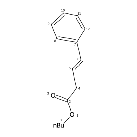 CCCCOC(=O)C/C=C/c1ccccc1